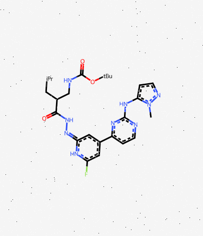 CC(C)CC(CNC(=O)OC(C)(C)C)C(=O)NN=c1cc(-c2ccnc(Nc3ccnn3C)n2)cc(F)[nH]1